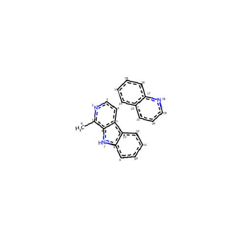 Cc1nccc2c1[nH]c1ccccc12.c1ccc2ncccc2c1